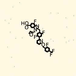 O=C(O)c1cc(F)c2nc(Cc3cc(F)c(-c4cccc(OCc5ccc(C(F)F)cc5F)n4)cc3F)n(C[C@@H]3CCO3)c2c1